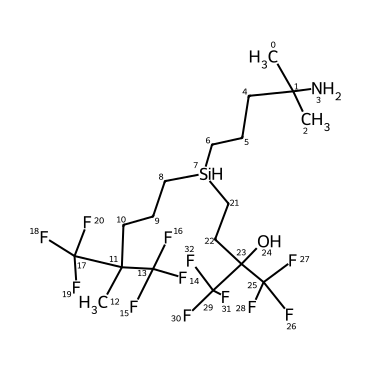 CC(C)(N)CCC[SiH](CCCC(C)(C(F)(F)F)C(F)(F)F)CCC(O)(C(F)(F)F)C(F)(F)F